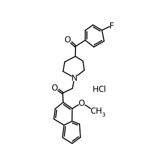 COc1c(C(=O)CN2CCC(C(=O)c3ccc(F)cc3)CC2)ccc2ccccc12.Cl